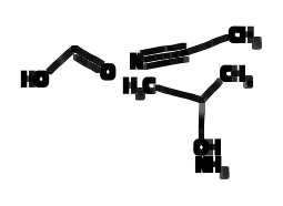 CC#N.CC(C)O.N.O=CO